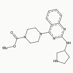 CC(C)(C)OC(=O)N1CCN(c2nc(NC3CCNC3)nc3ccccc23)CC1